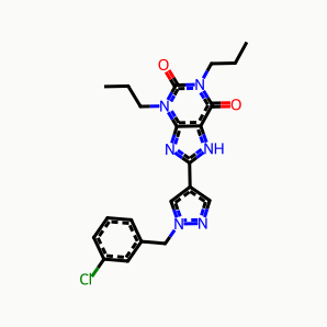 CCCn1c(=O)c2[nH]c(-c3cnn(Cc4cccc(Cl)c4)c3)nc2n(CCC)c1=O